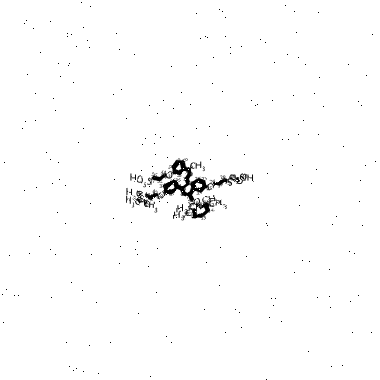 CC(CCCC(CC(CON1C(C)(C)CCCC1(C)C)c1cccc(OCCCSOOO)c1)c1cccc(OCCC[Si](C)(C)C)c1)c1cccc(OCCCS(=O)(=O)O)c1